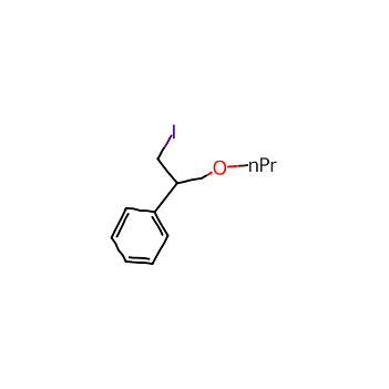 CCCOCC(CI)c1ccccc1